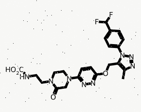 Cc1nnn(-c2ccc(C(F)F)cc2)c1COc1ccc(N2CCN(CCNC(=O)O)C(=O)C2)nn1